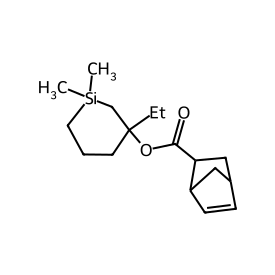 CCC1(OC(=O)C2CC3C=CC2C3)CCC[Si](C)(C)C1